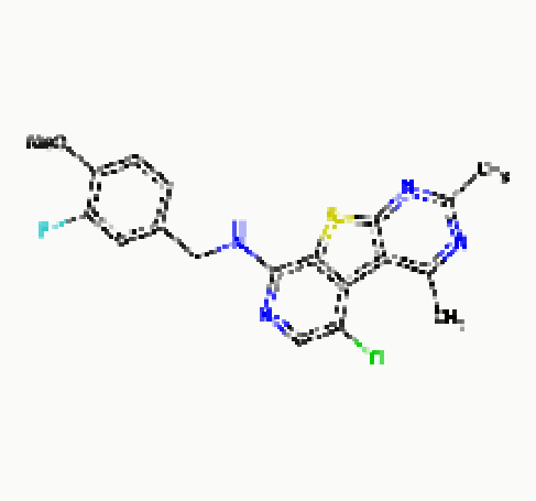 COc1ccc(CNc2ncc(Cl)c3c2sc2nc(C)nc(C)c23)cc1F